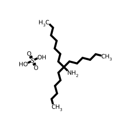 CCCCCCCC(N)(CCCCCC)CCCCCC.O=S(=O)(O)O